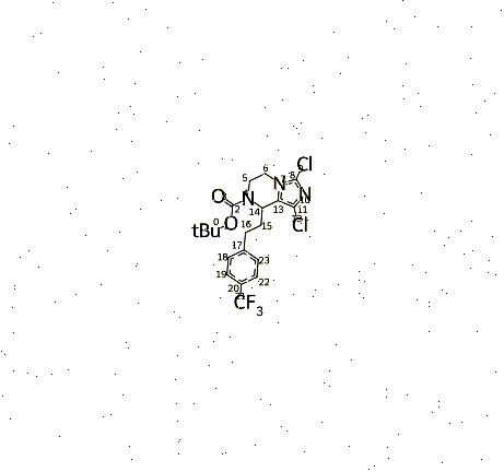 CC(C)(C)OC(=O)N1CCn2c(Cl)nc(Cl)c2C1CCc1ccc(C(F)(F)F)cc1